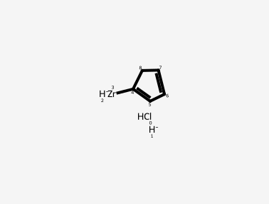 Cl.[H-].[H-].[Zr][C]1=CC=CC1